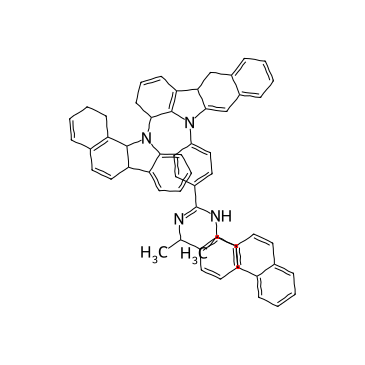 CC(/N=C(\NC(C)c1ccc2ccccc2c1)c1ccc(N2C3=Cc4ccccc4CC3C3=C2C(N2c4ccccc4C4C=CC5=C(CCC=C5)C42)CC=C3)cc1)c1ccccc1